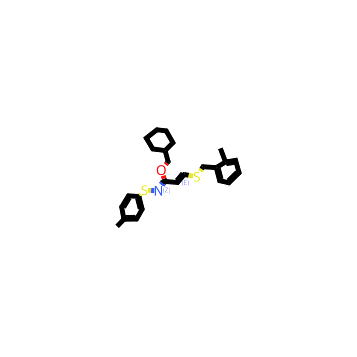 Cc1ccc(S/N=C(/C=C/SCc2ccccc2C)OCC2CCCCC2)cc1